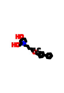 OCC1CC(O)CCN1CCCCCOCc1ccc(-c2ccccc2)cc1C(F)(F)F